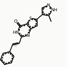 Cc1[nH]ncc1-c1cc2nc(/C=C/c3ccccc3)[nH]c(=O)c2s1